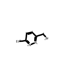 CCc1ccc(CBr)nn1